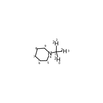 [2H]C([2H])([2H])N1C[CH]CCC1